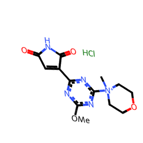 COc1nc(C2=CC(=O)NC2=O)nc([N+]2(C)CCOCC2)n1.Cl